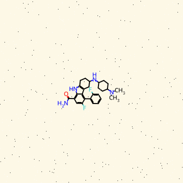 CN(C)C1CCC(NC2CCc3[nH]c4c(C(N)=O)cc(F)c(-c5ccccc5F)c4c3C2)CC1